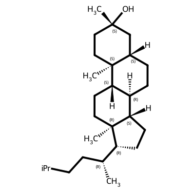 CC(C)CC[C@@H](C)[C@H]1CC[C@H]2[C@@H]3CC[C@H]4C[C@@](C)(O)CC[C@]4(C)[C@H]3CC[C@]12C